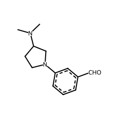 CN(C)C1CCN(c2cccc(C=O)c2)C1